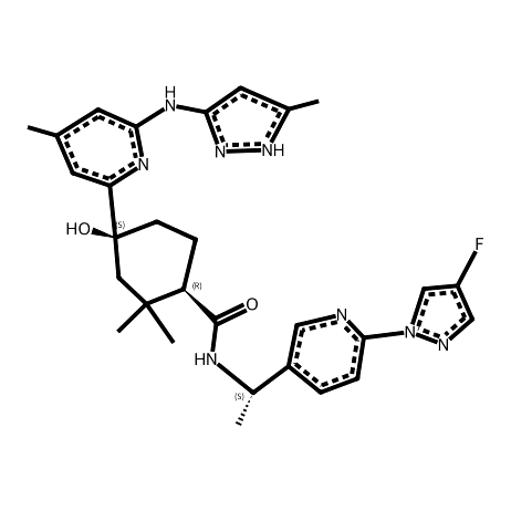 Cc1cc(Nc2cc(C)[nH]n2)nc([C@]2(O)CC[C@@H](C(=O)N[C@@H](C)c3ccc(-n4cc(F)cn4)nc3)C(C)(C)C2)c1